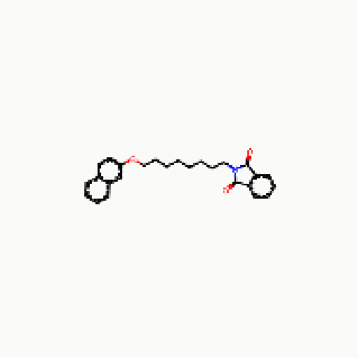 O=C1c2ccccc2C(=O)N1CCCCCCCCOc1ccc2ccccc2c1